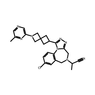 Cc1cncc(N2CC3(CC(c4nnc5n4-c4ccc(Cl)cc4CN(C(C)C#N)C5)C3)C2)n1